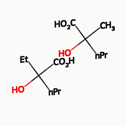 CCCC(C)(O)C(=O)O.CCCC(O)(CC)C(=O)O